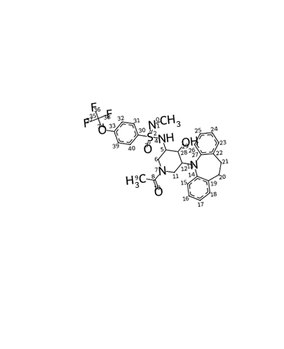 CN=S(=O)(NC1CN(C(C)=O)CC(N2c3ccccc3CCc3ccccc32)C1O)c1ccc(OC(F)(F)F)cc1